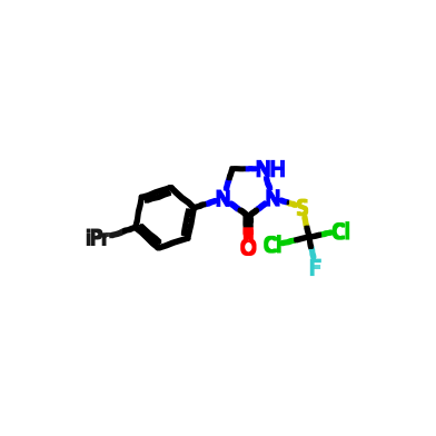 CC(C)c1ccc(N2CNN(SC(F)(Cl)Cl)C2=O)cc1